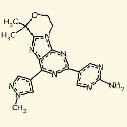 Cn1cc(-c2nc(-c3cnc(N)nc3)nc3c2nc2n3CCOC2(C)C)cn1